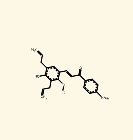 C=CCc1cc(C=CC(=O)c2ccc(NC)cc2)c(OCC)c(CC=C)c1O